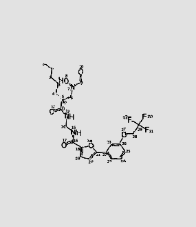 CCCCC[C@H](CN(O)C=O)C(=O)NCNC(=O)c1ccc(-c2cccc(OCC(F)(F)F)c2)o1